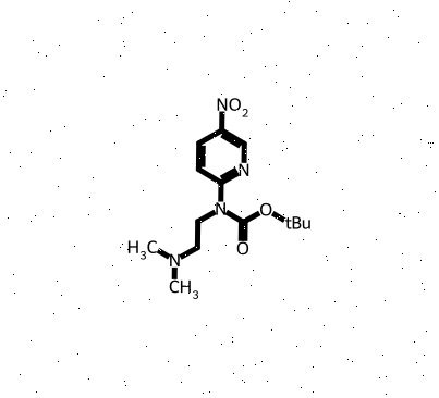 CN(C)CCN(C(=O)OC(C)(C)C)c1ccc([N+](=O)[O-])cn1